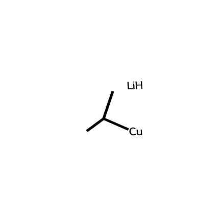 C[CH](C)[Cu].[LiH]